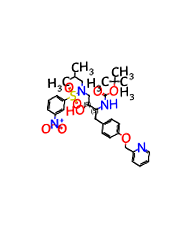 CC(C)CN(C[C@@H](O)[C@H](Cc1ccc(OCc2ccccn2)cc1)NC(=O)OC(C)(C)C)S(=O)(=O)c1cccc([N+](=O)[O-])c1